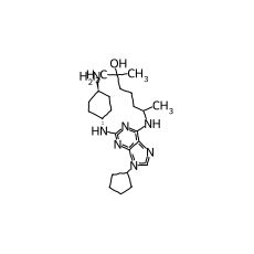 CC(CCCC(C)(C)O)Nc1nc(N[C@H]2CC[C@H](N)CC2)nc2c1ncn2C1CCCC1